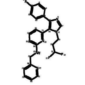 Fc1ccc(-c2ncn(CCC(F)F)c2-c2ccnc(NCc3ccccn3)n2)cc1